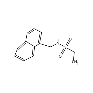 CCS(=O)(=O)NCc1cccc2ccccc12